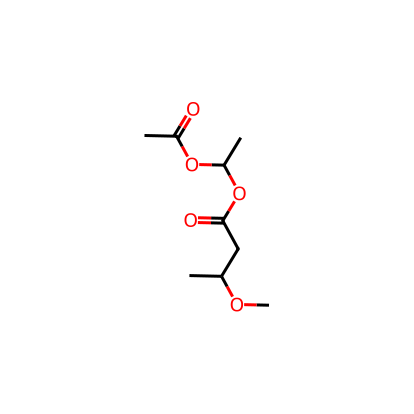 COC(C)CC(=O)OC(C)OC(C)=O